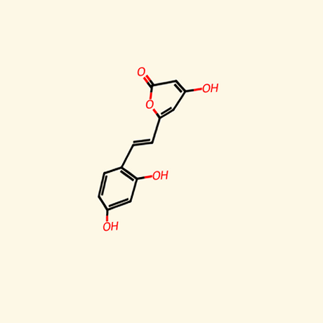 O=c1cc(O)cc(C=Cc2ccc(O)cc2O)o1